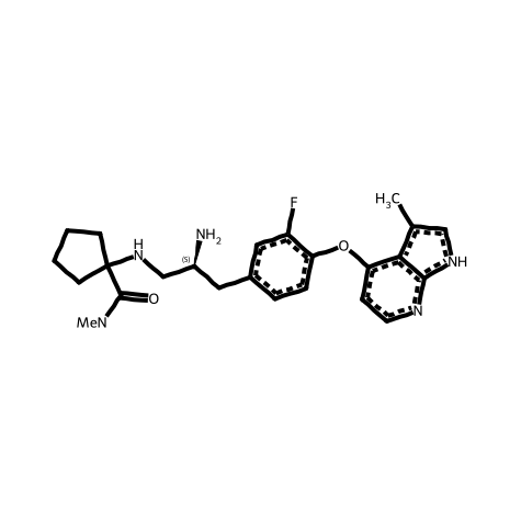 CNC(=O)C1(NC[C@@H](N)Cc2ccc(Oc3ccnc4[nH]cc(C)c34)c(F)c2)CCCC1